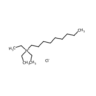 CCCCCCCCC[N+](CC)(CC)CC.[Cl-]